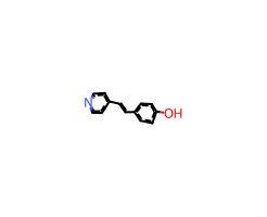 Oc1ccc(/C=C/c2ccncc2)cc1